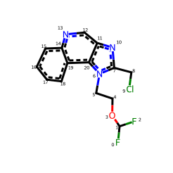 FC(F)OCCn1c(CCl)nc2cnc3ccccc3c21